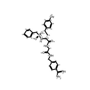 N=C(N)c1ccc(CNC(=O)CNC(=O)[C@@H](CCc2ccc(O)cc2)NS(=O)(=O)Cc2ccccc2)cc1